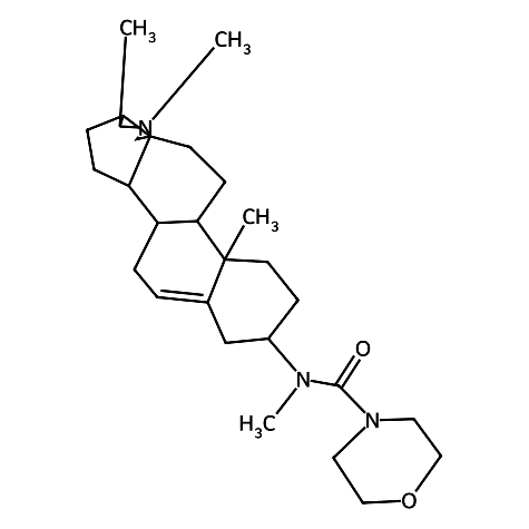 CC1C2CCC3C4CC=C5CC(N(C)C(=O)N6CCOCC6)CCC5(C)C4CCC32CN1C